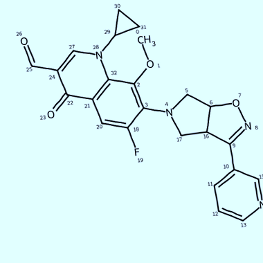 COc1c(N2CC3ON=C(c4cccnc4)C3C2)c(F)cc2c(=O)c(C=O)cn(C3CC3)c12